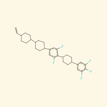 C=CC1CCC(C2CCC(c3cc(F)c(C4CCC(c5cc(F)c(F)c(F)c5)CC4)c(F)c3)CC2)CC1